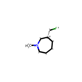 CN1CCCC[C@@H](CF)C1